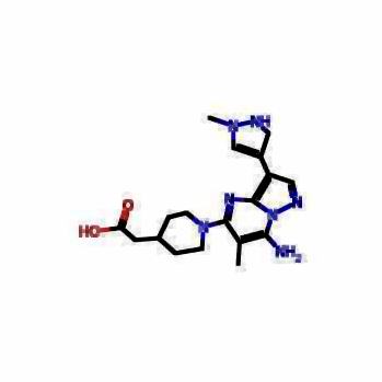 Cc1c(N2CCC(CC(=O)O)CC2)nc2c(C3=CN(C)NC3)cnn2c1N